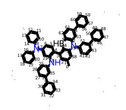 Cc1cc(-c2ccc(N(c3ccccc3)c3ccccc3)cc2Nc2cccc(-c3ccccc3)c2)c2c(c1)N(c1cccc(-c3ccccc3)c1)c1cc(-c3ccccc3)ccc1B2